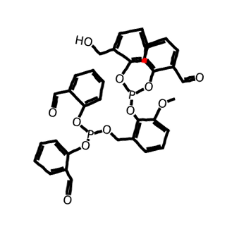 COc1cccc(COP(Oc2ccccc2C=O)Oc2ccccc2C=O)c1OP(Oc1ccccc1C=O)Oc1ccccc1CO